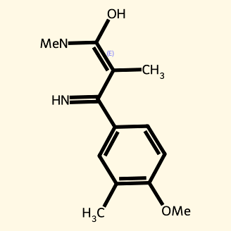 CN/C(O)=C(/C)C(=N)c1ccc(OC)c(C)c1